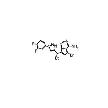 CCC(c1cn(-c2ccc(F)c(F)c2)nn1)c1cc(Br)c2c(N)ncnn12